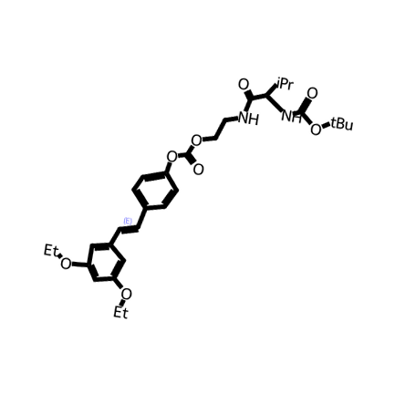 CCOc1cc(/C=C/c2ccc(OC(=O)OCCNC(=O)C(NC(=O)OC(C)(C)C)C(C)C)cc2)cc(OCC)c1